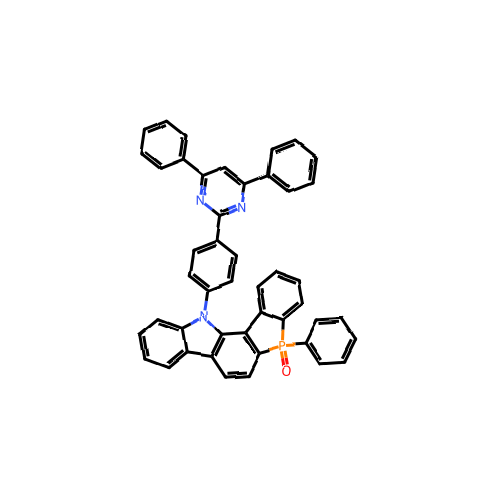 O=P1(c2ccccc2)c2ccccc2-c2c1ccc1c3ccccc3n(-c3ccc(-c4nc(-c5ccccc5)cc(-c5ccccc5)n4)cc3)c21